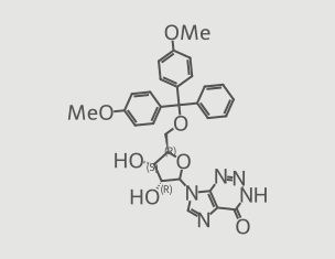 COc1ccc(C(OC[C@H]2OC(n3cnc4c(=O)[nH]nnc43)[C@H](O)[C@@H]2O)(c2ccccc2)c2ccc(OC)cc2)cc1